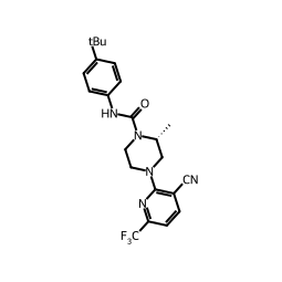 C[C@@H]1CN(c2nc(C(F)(F)F)ccc2C#N)CCN1C(=O)Nc1ccc(C(C)(C)C)cc1